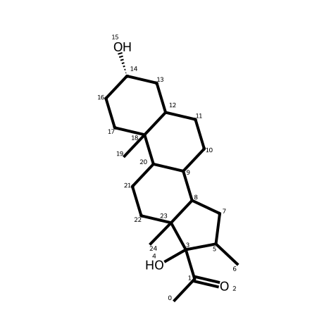 CC(=O)C1(O)C(C)CC2C3CCC4C[C@@H](O)CCC4(C)C3CCC21C